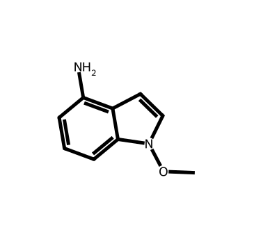 COn1ccc2c(N)cccc21